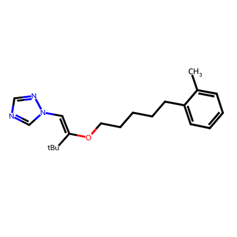 Cc1ccccc1CCCCCOC(=Cn1cncn1)C(C)(C)C